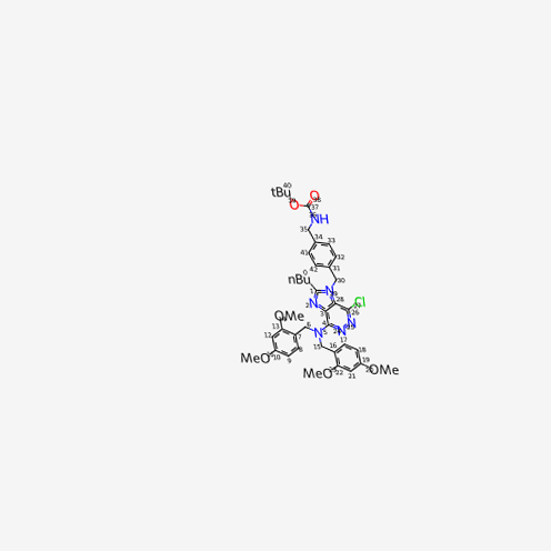 CCCCc1nc2c(N(Cc3ccc(OC)cc3OC)Cc3ccc(OC)cc3OC)nnc(Cl)c2n1Cc1ccc(CNC(=O)OC(C)(C)C)cc1